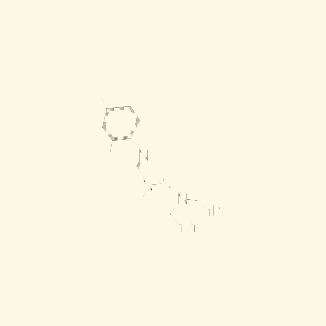 Cc1ccc(N=CN(C)SN(CC(C)C)CC(C)C)c(C)c1